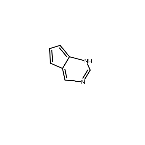 c1cc2cnc[nH]c-2c1